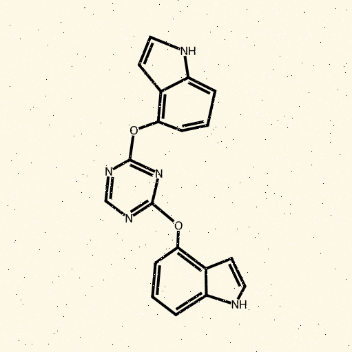 c1cc(Oc2ncnc(Oc3cccc4[nH]ccc34)n2)c2cc[nH]c2c1